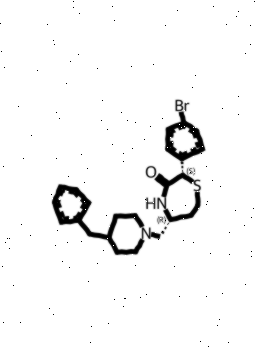 O=C1N[C@@H](CN2CCC(Cc3ccccc3)CC2)CCS[C@H]1c1ccc(Br)cc1